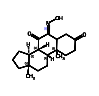 C[C@@]12CCC[C@H]1[C@@H]1C(=O)/C(=N/O)C3CC(=O)CC[C@]3(C)[C@@H]1CC2